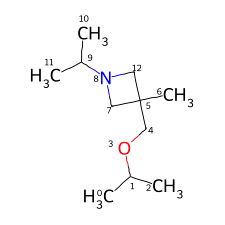 CC(C)OCC1(C)CN(C(C)C)C1